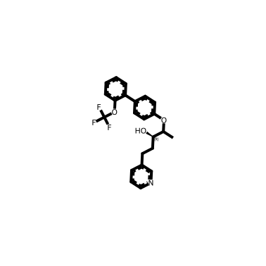 CC(Oc1ccc(-c2ccccc2OC(F)(F)F)cc1)[C@H](O)CCc1cccnc1